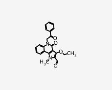 CCOc1c(C=O)n(C)c2c1c(=O)n(CC(=O)c1ccccc1)c1ccccc21